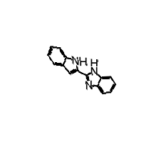 c1ccc2[nH]c(-c3nc4ccccc4[nH]3)cc2c1